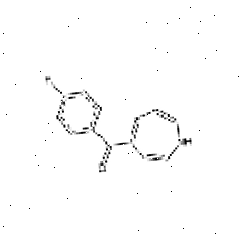 O=C(C1=CC=CNC=C1)c1ccc(F)cc1